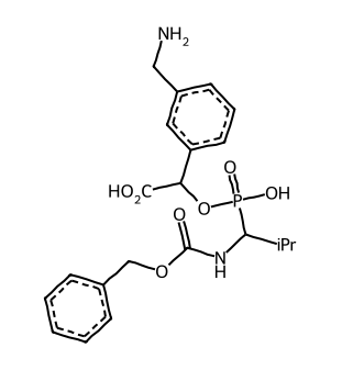 CC(C)C(NC(=O)OCc1ccccc1)P(=O)(O)OC(C(=O)O)c1cccc(CN)c1